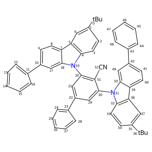 CC(C)(C)c1ccc2c(c1)c1ccc(-c3ccccc3)cc1n2-c1cc(-c2ccccc2)cc(-n2c3ccc(C(C)(C)C)cc3c3ccc(-c4ccccc4)cc32)c1C#N